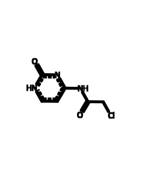 O=C(CCl)Nc1cc[nH]c(=O)n1